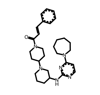 O=C(/C=C/c1ccccc1)N1CCC(N2CCCC(Nc3nccc(N4CCCCCC4)n3)C2)CC1